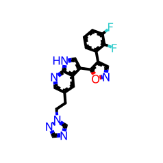 Fc1cccc(-c2cnoc2-c2c[nH]c3ncc(CCn4cncn4)cc23)c1F